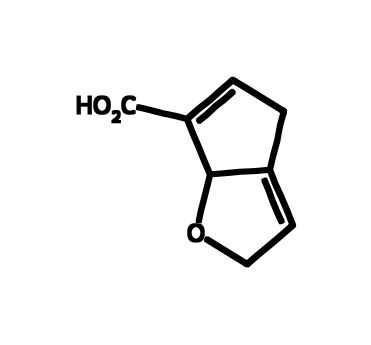 O=C(O)C1=CCC2=CCOC21